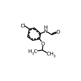 CC(C)Oc1ccc(Cl)cc1NC=O